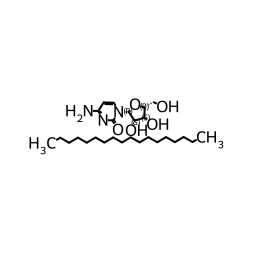 CCCCCCCCCCCCCCCCCC.Nc1ccn([C@@H]2O[C@H](CO)[C@@H](O)[C@@H]2O)c(=O)n1